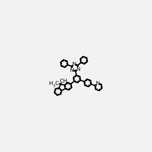 CC1(C)c2ccccc2-c2ccc(-c3cc(-c4ccc(-c5ccccn5)cc4)cc(-c4nc(-c5ccccc5)nc(-c5ccccc5)n4)c3)cc21